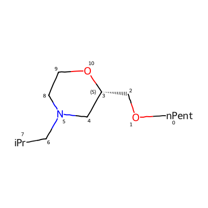 CCCCCOC[C@@H]1CN(CC(C)C)CCO1